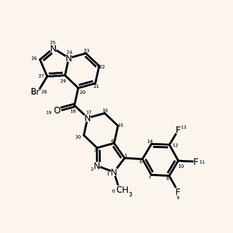 Cn1nc2c(c1-c1cc(F)c(F)c(F)c1)CCN(C(=O)c1cccn3ncc(Br)c13)C2